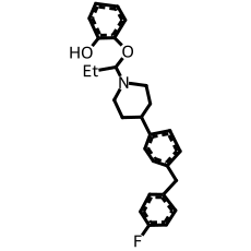 CCC(Oc1ccccc1O)N1CCC(c2ccc(Cc3ccc(F)cc3)cc2)CC1